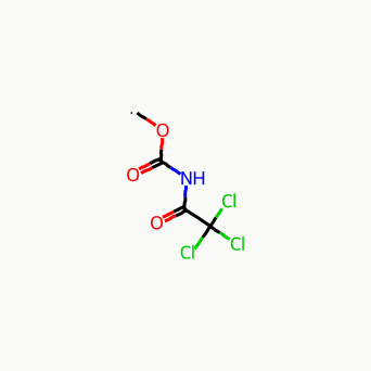 [CH2]OC(=O)NC(=O)C(Cl)(Cl)Cl